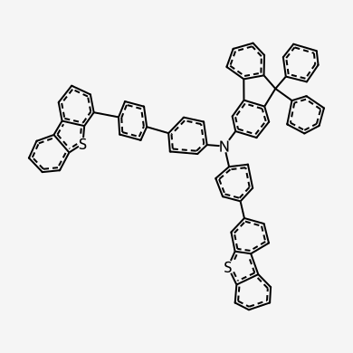 c1ccc(C2(c3ccccc3)c3ccccc3-c3cc(N(c4ccc(-c5ccc(-c6cccc7c6sc6ccccc67)cc5)cc4)c4ccc(-c5ccc6c(c5)sc5ccccc56)cc4)ccc32)cc1